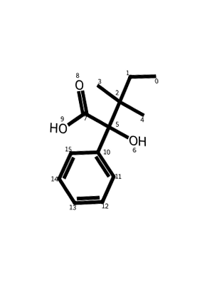 CCC(C)(C)C(O)(C(=O)O)c1ccccc1